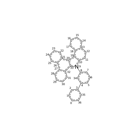 c1ccc(-c2cccc(-n3c4ccc5ccccc5c4c4c5ccccc5c5ccccc5c43)c2)cc1